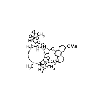 CC[C@@H]1C[C@@H](C)CCC=C[C@@H]2C[C@@]2(C(=O)NS(=O)(=O)C2(C)CC2)NC(=O)[C@@H]2C[C@@H](Oc3nc4c(c5cc(OC)ccc35)CCCO4)CN2C(=O)[C@H]1N(C(=O)O)C(C)(C)C(F)(F)F